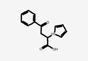 O=C(CC(C(=O)O)[SH]1C=CC=C1)c1ccccc1